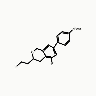 CCCCCc1ccc(-c2cc(F)c3c(c2)COC(CCF)C3)cc1